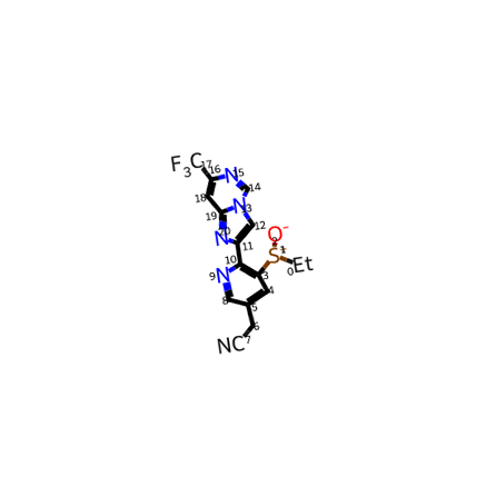 CC[S+]([O-])c1cc(CC#N)cnc1-c1cn2cnc(C(F)(F)F)cc2n1